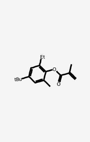 C=C(C)C(=O)Oc1c(C)cc(C(C)(C)C)cc1CC